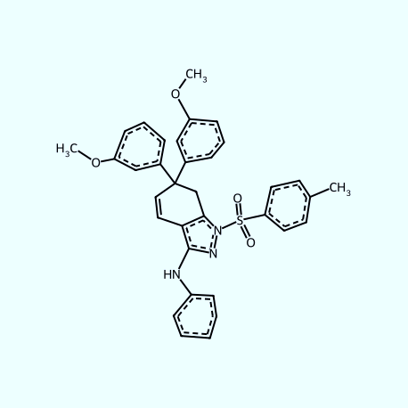 COc1cccc(C2(c3cccc(OC)c3)C=Cc3c(Nc4ccccc4)nn(S(=O)(=O)c4ccc(C)cc4)c3C2)c1